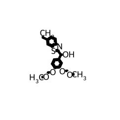 CCc1ccc2nc(C(O)c3ccc(OCOC)c(OCOC)c3)sc2c1